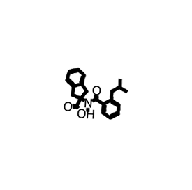 CC(C)Cc1ccccc1C(=O)N(C)C1(C(=O)O)Cc2ccccc2C1